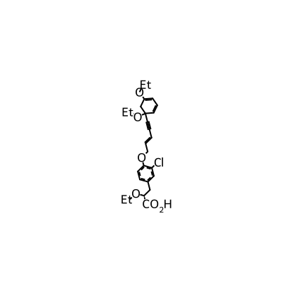 CCOC1=CC=CC(C#CC=CCOc2ccc(C[C@H](OCC)C(=O)O)cc2Cl)(OCC)C1